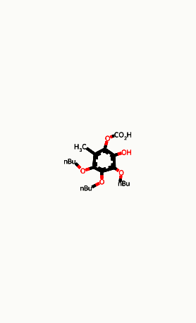 CCCCOc1c(C)c(OC(=O)O)c(O)c(OCCCC)c1OCCCC